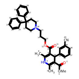 COC(=O)C1=C(C)NC(C)=C(C(=O)OCCCN2CCC(c3ccccc3)(c3ccccc3)CC2)C1c1cccc(C#N)c1